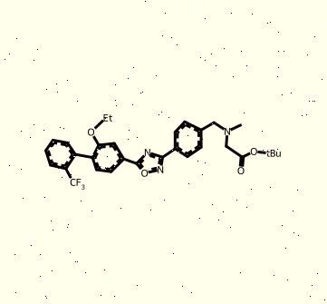 CCOc1cc(-c2nc(-c3ccc(CN(C)CC(=O)OC(C)(C)C)cc3)no2)ccc1-c1ccccc1C(F)(F)F